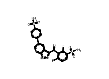 NS(=O)(=O)c1ccc(-c2cnc3[nH]nc(C(=O)c4c(F)ccc(S(N)(=O)=O)c4F)c3c2)cc1